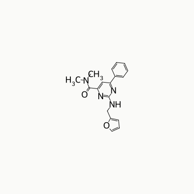 CN(C)C(=O)c1cc(-c2ccccc2)nc(NCc2ccco2)n1